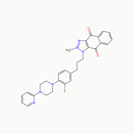 C[n+]1nc2c(n1CCCc1ccc(N3CCN(c4ccccn4)CC3)c(F)c1)C(=O)c1ccccc1C2=O